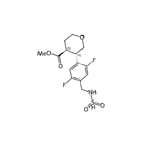 COC(=O)[C@H]1CCOC[C@@H]1c1cc(F)c(CN[SH](=O)=O)cc1F